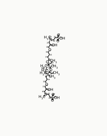 CC[C@](C)(O[Si](C)(C)[C@](C)(CC)OSCCCOCC(O)CN(C)CCS(=O)(=O)O)[Si](C)(C)CCCOCC(O)CN(C)CCS(=O)(=O)O